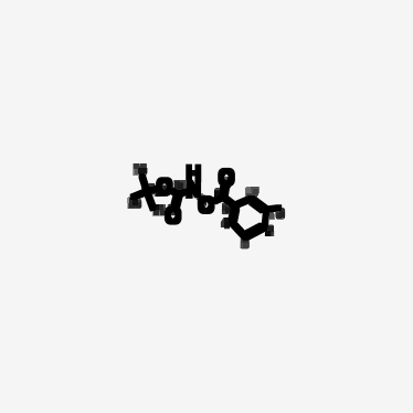 Cc1cccc(C(=O)ONC(=O)OC(C)(C)C)c1